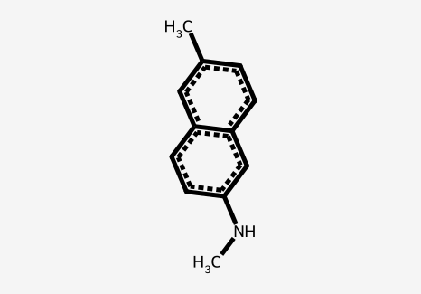 CNc1ccc2cc(C)ccc2c1